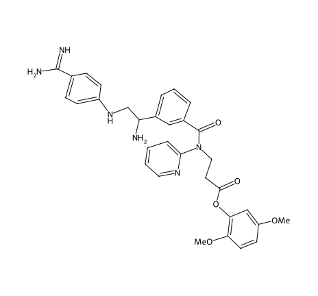 COc1ccc(OC)c(OC(=O)CCN(C(=O)c2cccc(C(N)CNc3ccc(C(=N)N)cc3)c2)c2ccccn2)c1